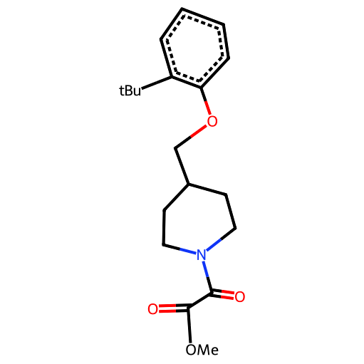 COC(=O)C(=O)N1CCC(COc2ccccc2C(C)(C)C)CC1